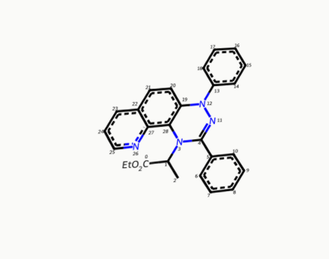 CCOC(=O)C(C)N1C(c2ccccc2)=NN(c2ccccc2)c2ccc3cccnc3c21